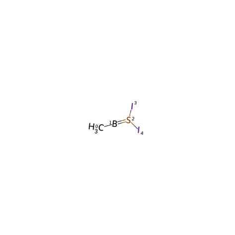 CB=S(I)I